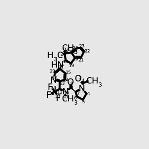 CC(=O)N1CCC[C@H]1C(=O)N(C)C(c1ccc(N[C@H]2Cc3ccccc3C2(C)C)cn1)C(F)(F)F